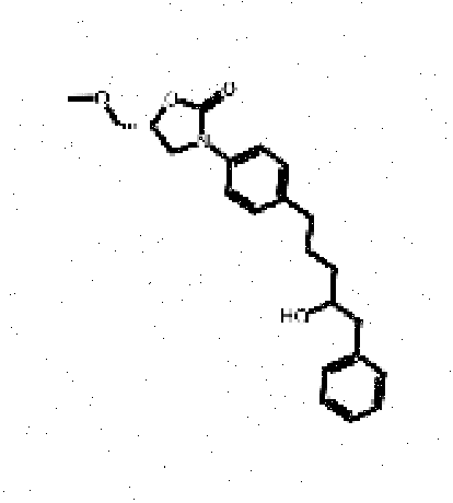 COC[C@H]1CN(c2ccc(CCCC(O)Cc3ccccc3)cc2)C(=O)O1